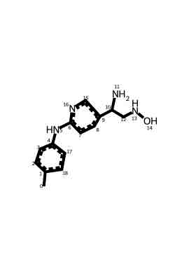 Cc1ccc(Nc2ccc(C(N)CNO)cn2)cc1